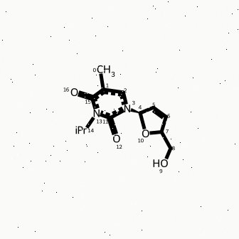 Cc1cn([C@H]2C=CC(CO)O2)c(=O)n(C(C)C)c1=O